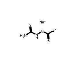 NC(=S)NOC(=S)[S-].[Na+]